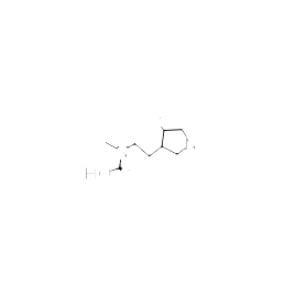 CN(CCC1CNCC1O)C(=O)O